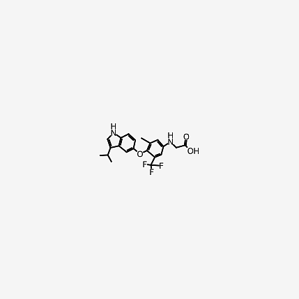 Cc1cc(NCC(=O)O)cc(C(F)(F)F)c1Oc1ccc2[nH]cc(C(C)C)c2c1